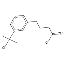 CC(C)(Cl)c1cccc(CCCC(=O)Cl)c1